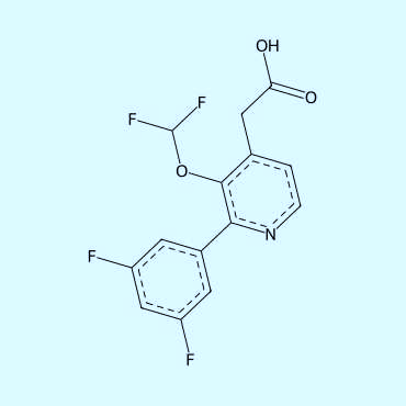 O=C(O)Cc1ccnc(-c2cc(F)cc(F)c2)c1OC(F)F